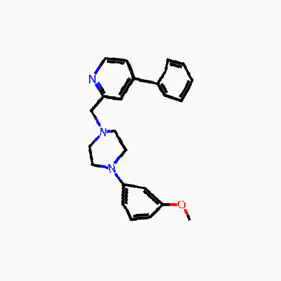 COc1cccc(N2CCN(Cc3cc(-c4ccccc4)ccn3)CC2)c1